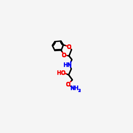 NOCC(O)CNCC1COc2ccccc2O1